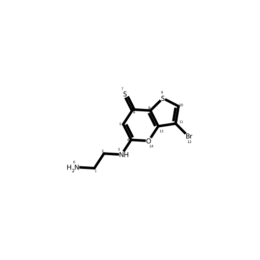 NCCNc1cc(=S)c2scc(Br)c2o1